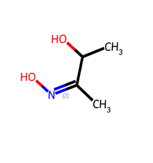 C/C(=N/O)C(C)O